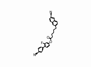 N#Cc1ccc(-c2ccc(OC(=O)CCCCCc3ccc4cc(C#N)ccc4c3)cc2F)cc1